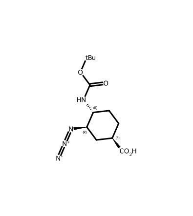 CC(C)(C)OC(=O)N[C@@H]1CC[C@@H](C(=O)O)C[C@H]1N=[N+]=[N-]